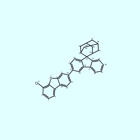 Clc1cccc2c1oc1cc(-c3ccc4c(c3)-c3ccccc3C43C4CC5CC(C4)CC3C5)ccc12